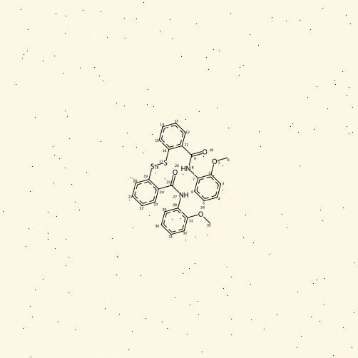 COc1ccccc1NC(=O)c1ccccc1SSc1ccccc1C(=O)Nc1ccccc1OC